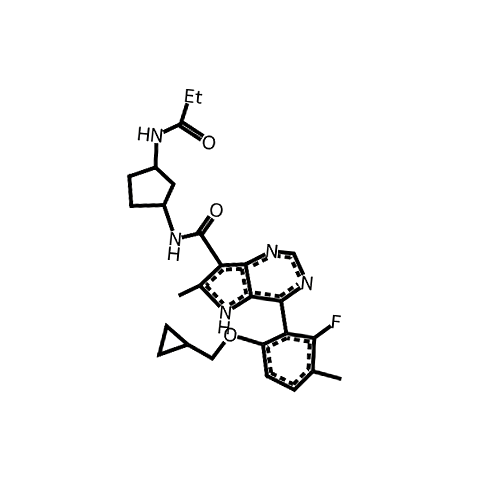 CCC(=O)NC1CCC(NC(=O)c2c(C)[nH]c3c(-c4c(OCC5CC5)ccc(C)c4F)ncnc23)C1